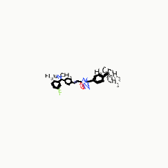 CN(C)C(c1cccc(F)c1)C1CCC(/C=C/c2nc(-c3ccc(C(C)(C)C)cc3)no2)CC1